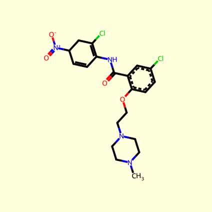 CN1CCN(CCOc2ccc(Cl)cc2C(=O)NC2=C(Cl)CC([N+](=O)[O-])C=C2)CC1